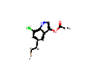 CC(C)(C)C(=O)Oc1c[nH]c2c(Cl)cc(CCBr)cc12